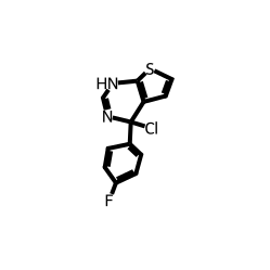 Fc1ccc(C2(Cl)N=CNc3sccc32)cc1